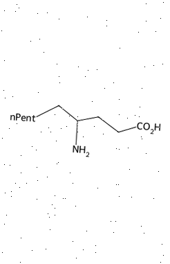 CCCCCCC(N)CCC(=O)O